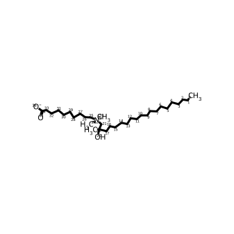 CCCCCCCCCCCCCCCCCCC(C)(O)C[N+](C)(C)CCCCCCCCCC(=O)[O-]